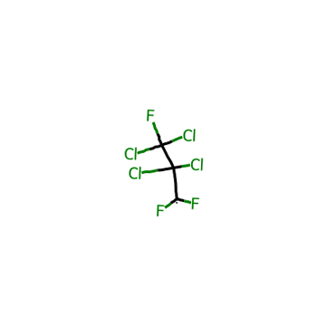 F[C](F)C(Cl)(Cl)C(F)(Cl)Cl